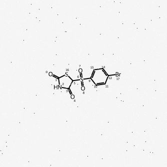 O=C1NC(=O)C(S(=O)(=O)c2ccc(Br)cc2)S1